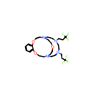 FC(F)(F)CCN1CCN2CCOCCN(CCOc3ccccc3OCC2)CCN(CCC(F)(F)F)CC1